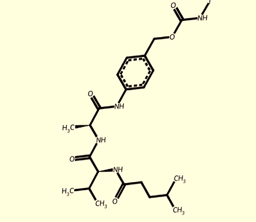 CC(C)CCC(=O)N[C@H](C(=O)N[C@@H](C)C(=O)Nc1ccc(COC(=O)NI)cc1)C(C)C